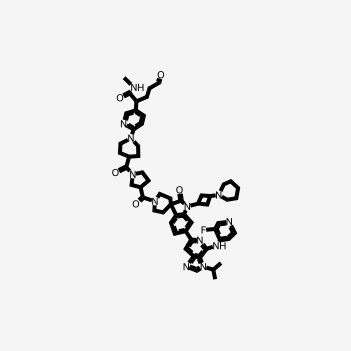 CNC(=O)C(CCC=O)c1ccc(N2CCC(C(=O)N3CCC(C(=O)N4CCC5(CC4)C(=O)N(C4CC(N6CCCCC6)C4)c4cc(-c6cc7ncn(C(C)C)c7c(Nc7ccncc7F)n6)ccc45)C3)CC2)nc1